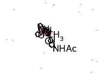 CC(=O)Nc1ccc2oc(-c3ccnc(C(=O)N4CC5CCC(C4)N5C(c4ccccc4)c4nnn(C)n4)c3)nc2c1